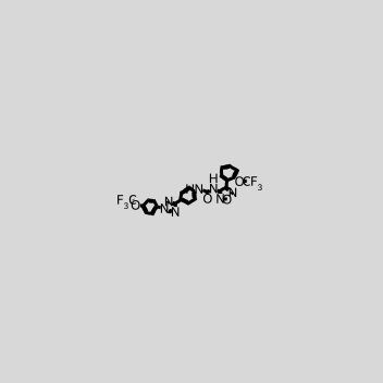 O=C(Nc1ccc(-c2ncn(-c3ccc(OC(F)(F)F)cc3)n2)cc1)Nc1nonc1-c1ccccc1OC(F)(F)F